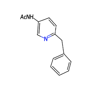 CC(=O)Nc1ccc(Cc2ccccc2)nc1